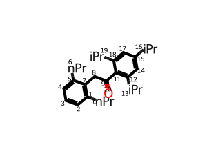 CCCc1cccc(CCC)c1CC(=O)c1c(C(C)C)cc(C(C)C)cc1C(C)C